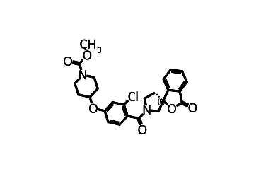 COC(=O)N1CCC(Oc2ccc(C(=O)N3CC[C@@]4(C3)OC(=O)c3ccccc34)c(Cl)c2)CC1